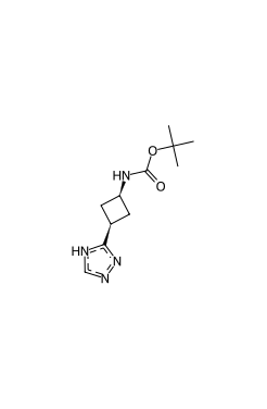 CC(C)(C)OC(=O)N[C@H]1C[C@@H](c2nnc[nH]2)C1